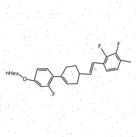 CCCCCCOc1ccc(C2=CCC(/C=C/c3ccc(C)c(F)c3F)CC2)c(F)c1